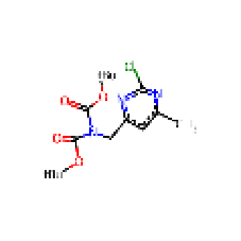 Cc1cc(CN(C(=O)OC(C)(C)C)C(=O)OC(C)(C)C)nc(Cl)n1